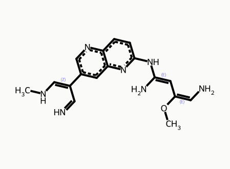 CN/C=C(\C=N)c1cnc2ccc(N/C(N)=C/C(=C\N)OC)nc2c1